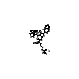 CCCCN(CCCCN(C)C)C(=O)CN1C[C@H](c2ccc3c(c2)OCO3)[C@@H](C(=O)O)[C@@H]1CCN1CCCS1(=O)=O